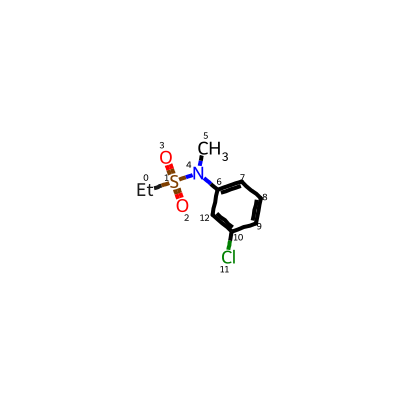 CCS(=O)(=O)N(C)c1cccc(Cl)c1